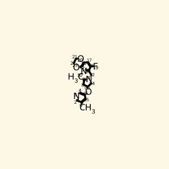 Cc1cncc(O[C@@H]2C[C@H](C)N(Cc3nc4c(cc3F)OCCO4)C2)c1